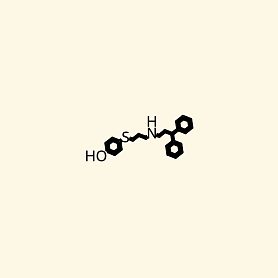 Oc1ccc(SCCCNCCC(c2ccccc2)c2ccccc2)cc1